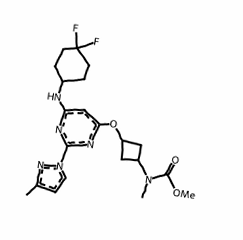 COC(=O)N(C)C1CC(Oc2cc(NC3CCC(F)(F)CC3)nc(-n3ccc(C)n3)n2)C1